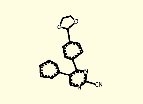 N#Cc1ncc(-c2ccccc2)c(-c2ccc(C3OCCO3)cc2)n1